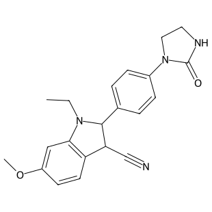 CCN1c2cc(OC)ccc2C(C#N)C1c1ccc(N2CCNC2=O)cc1